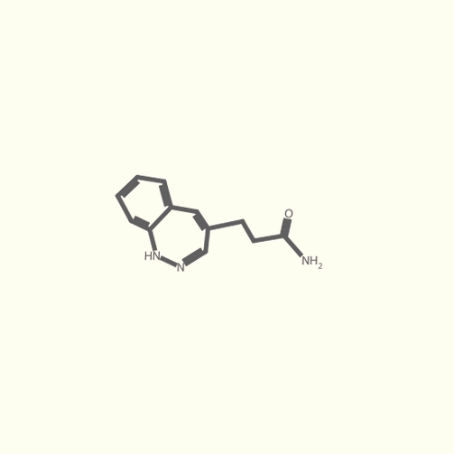 NC(=O)CCC1=Cc2ccccc2NN=C1